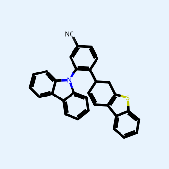 N#Cc1ccc(C2C=Cc3c(sc4ccccc34)C2)c(-n2c3ccccc3c3ccccc32)c1